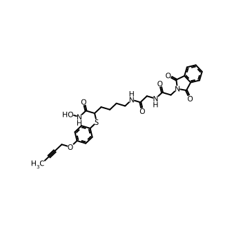 CC#CCOc1ccc(SC(CCCCNC(=O)CNC(=O)CN2C(=O)c3ccccc3C2=O)C(=O)NO)cc1